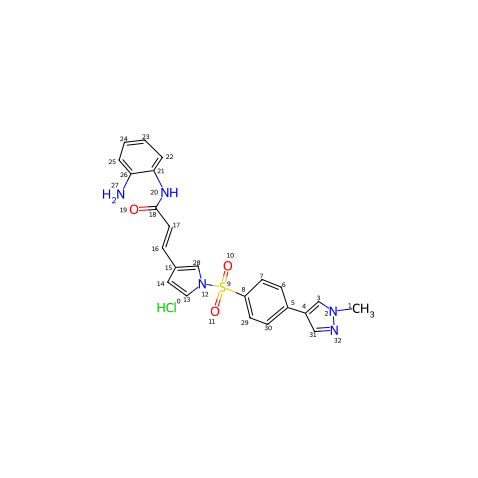 Cl.Cn1cc(-c2ccc(S(=O)(=O)n3ccc(C=CC(=O)Nc4ccccc4N)c3)cc2)cn1